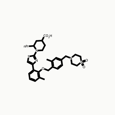 CCCC1CC(C(=O)O)CCN1c1nc(-c2cccc(C)c2OCc2ccc(CN3CCS(=O)(=O)CC3)cc2C)cs1